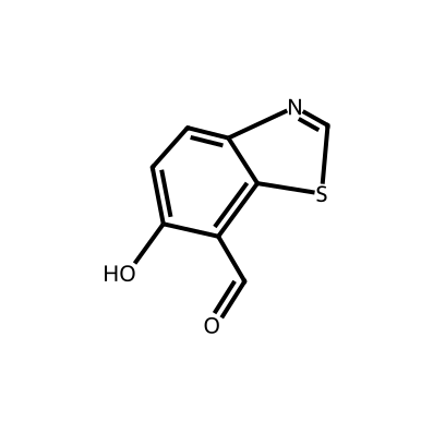 O=Cc1c(O)ccc2ncsc12